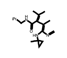 C=N/C(NC1(C)CC1)=C(\C)C(C(=O)NCC(C)C)=C(C)C